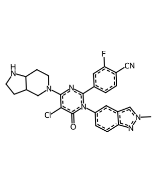 Cn1cc2cc(-n3c(-c4ccc(C#N)c(F)c4)nc(N4CCC5NCCC5C4)c(Cl)c3=O)ccc2n1